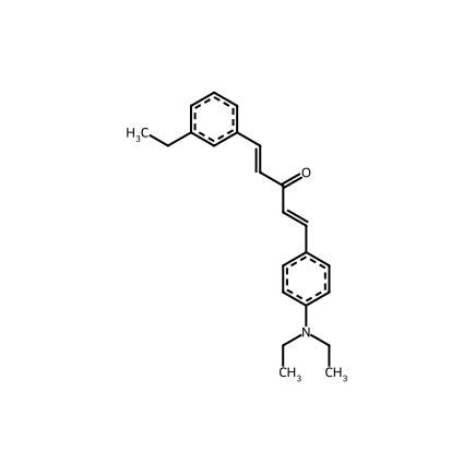 CCc1cccc(C=CC(=O)C=Cc2ccc(N(CC)CC)cc2)c1